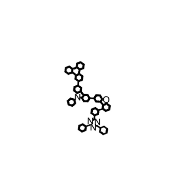 C1=CCC(c2nc(-c3ccccc3)nc(-c3cccc(-c4cccc5oc6ccc(-c7ccc8c(c7)c7cc(-c9ccc%10c%11ccccc%11c%11ccccc%11c%10c9)ccc7n8-c7ccccc7)cc6c45)c3)n2)C=C1